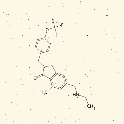 CCNCc1cc(C)c2c(c1)CN(Cc1ccc(OC(F)(F)F)cc1)C2=O